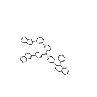 c1ccc(-c2c(-c3ccc(N(c4ccc(-c5ccc6ccccc6c5)cc4)c4cccc(-c5cccc(-c6ccc7ccccc7c6)c5)c4)cc3)ccc3ccccc23)cc1